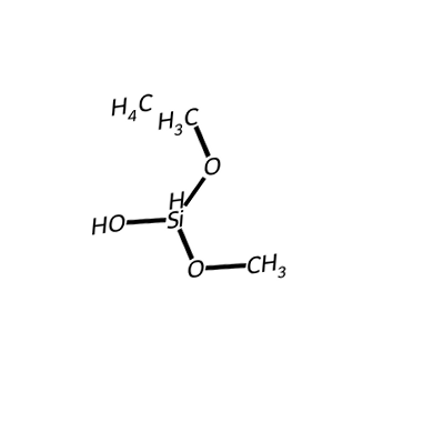 C.CO[SiH](O)OC